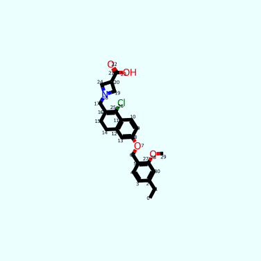 CCc1ccc(COc2ccc3c(c2)CCC(CN2CC(C(=O)O)C2)=C3Cl)c(OC)c1